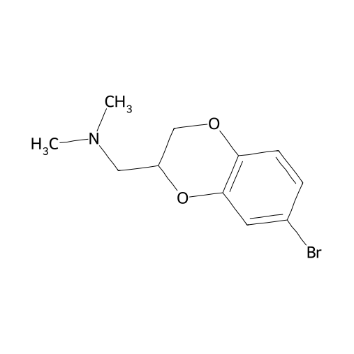 CN(C)CC1COc2ccc(Br)cc2O1